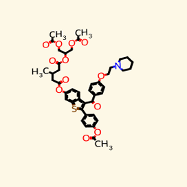 CC(=O)OCC(COC(C)=O)OC(=O)CC(C)CC(=O)Oc1ccc2c(C(=O)c3ccc(OCCN4CCCCC4)cc3)c(-c3ccc(OC(C)=O)cc3)sc2c1